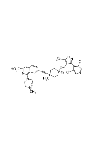 CCC1(OCc2c(-c3c(Cl)cncc3Cl)noc2C2CC2)CCC(C)(C#Cc2ccc3cc(C(=O)O)nc(N4CCN(C)CC4)c3c2)CC1